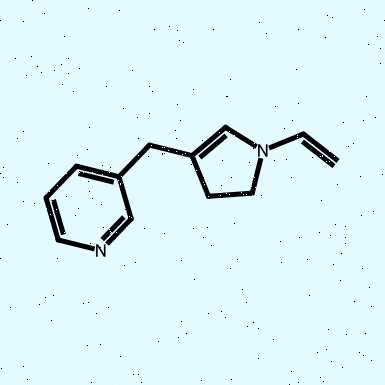 C=CN1C=C(Cc2cccnc2)CC1